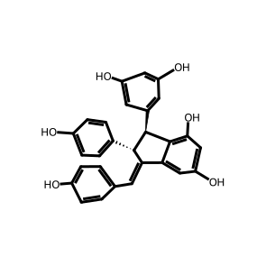 Oc1ccc(/C=C2/c3cc(O)cc(O)c3[C@H](c3cc(O)cc(O)c3)[C@H]2c2ccc(O)cc2)cc1